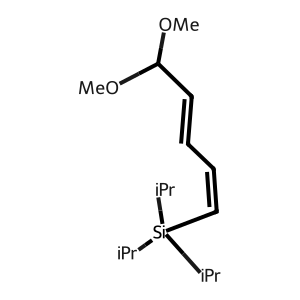 COC(/C=C/C=C\[Si](C(C)C)(C(C)C)C(C)C)OC